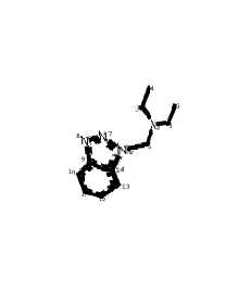 CCN(CC)Cn1nnc2ccccc21